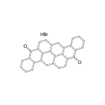 Br.O=c1c2ccccc2c2cc3ccc4c(=O)c5ccccc5c5cc6ccc1c2c6c3c45